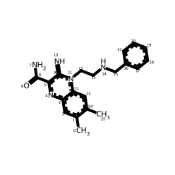 Cc1cc2nc(C(N)=O)c(=N)n(CCNCc3ccccc3)c2cc1C